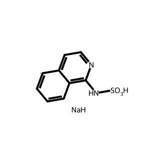 O=S(=O)(O)Nc1nccc2[c]cccc12.[NaH]